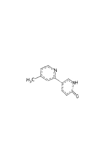 Cc1ccnc(-c2ccc(=O)[nH]c2)c1